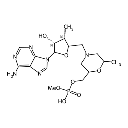 COP(=O)(O)OCC1CN(CC2OC(n3cnc4c(N)ncnc43)[C@H](O)[C@@H]2C)CC(C)O1